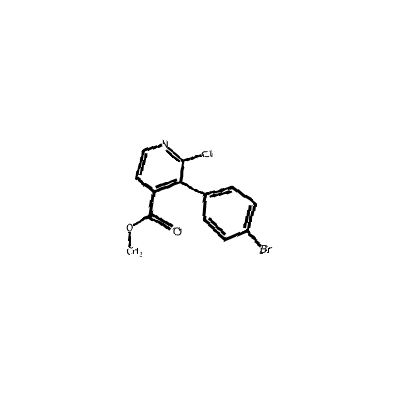 COC(=O)c1ccnc(Cl)c1-c1ccc(Br)cc1